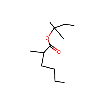 CCCCC(C)C(=O)OC(C)(C)CC